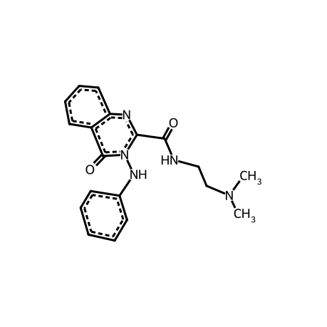 CN(C)CCNC(=O)c1nc2ccccc2c(=O)n1Nc1ccccc1